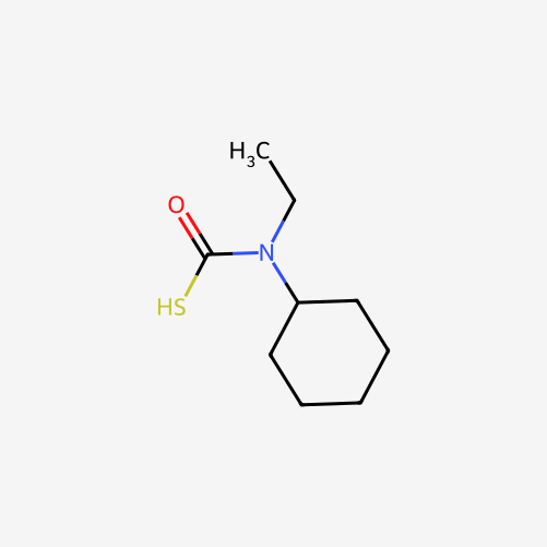 CCN(C(=O)S)C1CCCCC1